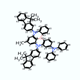 Cc1cc2c3c(c1)N(c1ccc4c(c1)C(C)(C)c1ccccc1-4)c1cc(N(c4ccccc4)c4ccccc4)ccc1B3c1ccccc1N2c1ccc2c(c1)C(C)(C)c1ccccc1-2